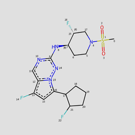 CS(=O)(=O)N1CC[C@@H](Nc2ncc3c(F)cc(C4CCCC4F)n3n2)[C@H](F)C1